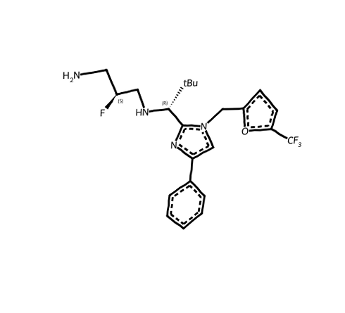 CC(C)(C)[C@@H](NC[C@@H](F)CN)c1nc(-c2ccccc2)cn1Cc1ccc(C(F)(F)F)o1